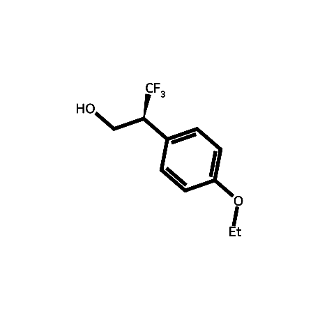 CCOc1ccc([C@@H](CO)C(F)(F)F)cc1